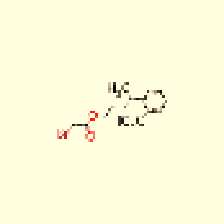 CC(CCCOC(=O)CBr)c1ccccc1C(=O)O